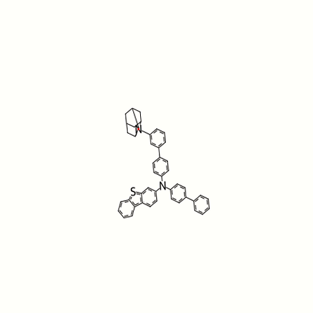 c1ccc(-c2ccc(N(c3ccc(-c4cccc(N5C6CC7CC(C6)CC5C7)c4)cc3)c3ccc4c(c3)sc3ccccc34)cc2)cc1